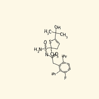 CC(C)c1ccc(F)c(C(C)C)c1CC(=O)N=S(N)(=O)C1(C)CC=C(C(C)(C)O)S1